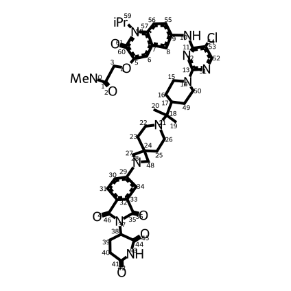 CNC(=O)COc1cc2cc(Nc3nc(N4CCC(C(C)(C)N5CCC6(CC5)CN(c5ccc7c(c5)C(=O)N(C5CCC(=O)NC5=O)C7=O)C6)CC4)ncc3Cl)ccc2n(C(C)C)c1=O